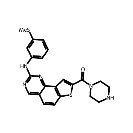 CSc1cccc(Nc2ncc3ccc4sc(C(=O)N5CCNCC5)cc4c3n2)c1